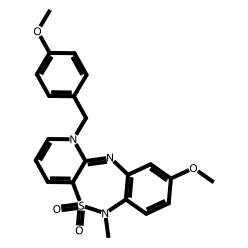 COc1ccc(CN2C=CC=C3C2=Nc2cc(OC)ccc2N(C)S3(=O)=O)cc1